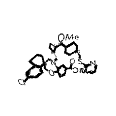 COC(=O)c1ccc2c(c1)N(C[C@@H]1CC[C@H]1[C@H](OC)C1=CC[C@@H](CSc3ncccn3)CC1)C[C@@]1(CCCc3cc(Cl)ccc31)CO2